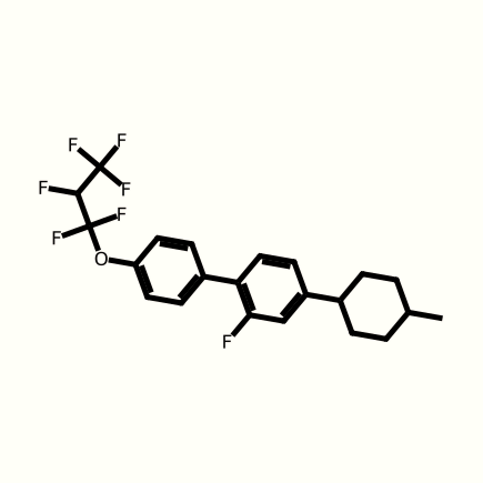 CC1CCC(c2ccc(-c3ccc(OC(F)(F)C(F)C(F)(F)F)cc3)c(F)c2)CC1